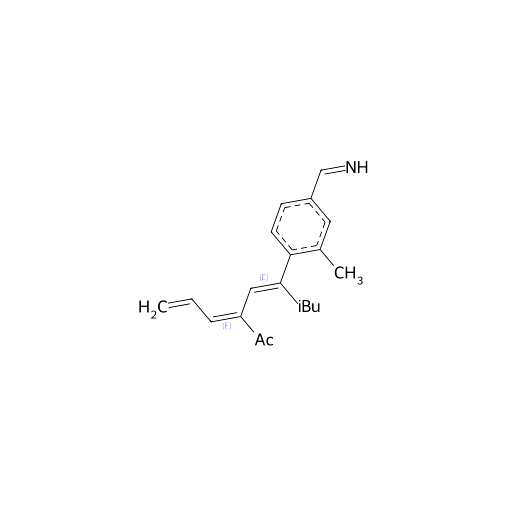 C=C/C=C(\C=C(\c1ccc(C=N)cc1C)C(C)CC)C(C)=O